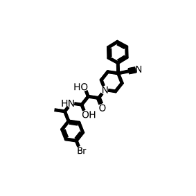 CC(NC(O)C(O)C(=O)N1CCC(C#N)(c2ccccc2)CC1)c1ccc(Br)cc1